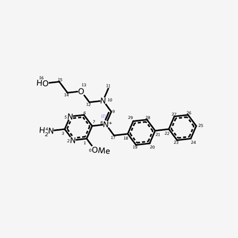 COc1nc(N)ncc1/[N+](=C\N(C)COCCO)Cc1ccc(-c2ccccc2)cc1